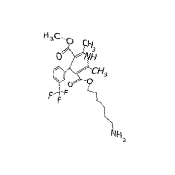 COC(=O)C1=C(C)NC(C)=C(C(=O)OCCCCCCN)C1c1cccc(C(F)(F)F)c1